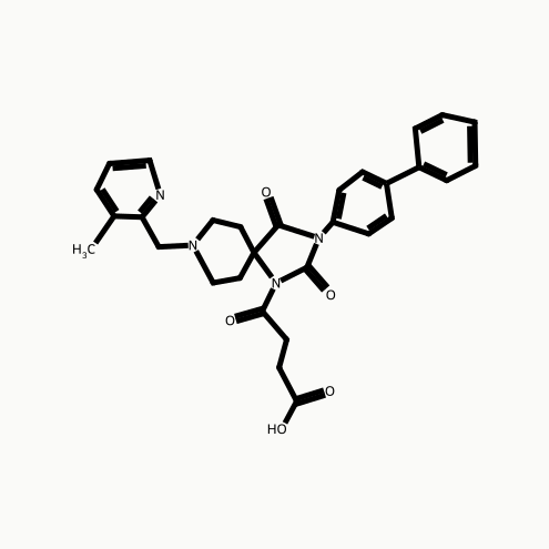 Cc1cccnc1CN1CCC2(CC1)C(=O)N(c1ccc(-c3ccccc3)cc1)C(=O)N2C(=O)CCC(=O)O